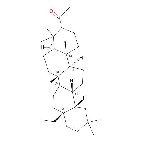 CC[C@]12CCC(C)(C)C[C@H]1[C@H]1CC[C@@H]3[C@@]4(C)CCC(C(C)=O)C(C)(C)[C@@H]4CC[C@@]3(C)[C@]1(C)CC2